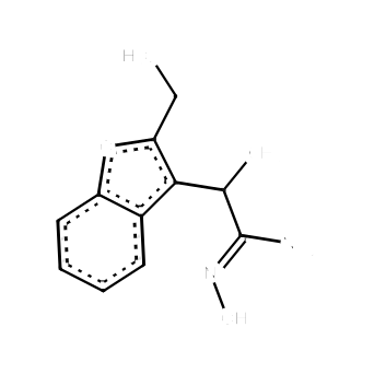 CCc1oc2ccccc2c1C(C)C(N)=NO